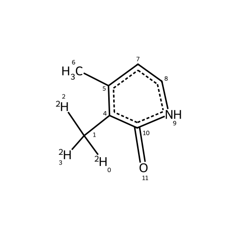 [2H]C([2H])([2H])c1c(C)cc[nH]c1=O